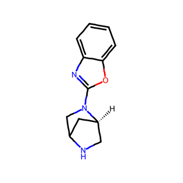 c1ccc2oc(N3CC4C[C@@H]3CN4)nc2c1